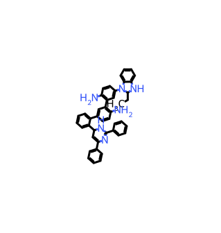 CCC1Nc2ccccc2N1c1ccc(N)c(-c2cc(-c3ccccc3C3C=C(c4ccccc4)N=C(c4ccccc4)N3)ccc2N)c1